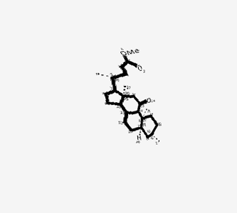 COC(=O)CC[C@@H](C)C1CCC2C3CC[C@@H]4C[C@@H](C)CC[C@]4(C)C3C(=O)C[C@@]21C